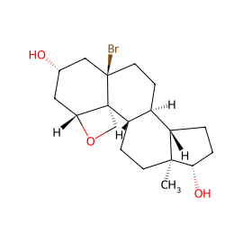 C[C@]12CC[C@H]3[C@@H](CC[C@@]4(Br)C[C@@H](O)C[C@H]5OC[C@@]534)[C@@H]1CC[C@@H]2O